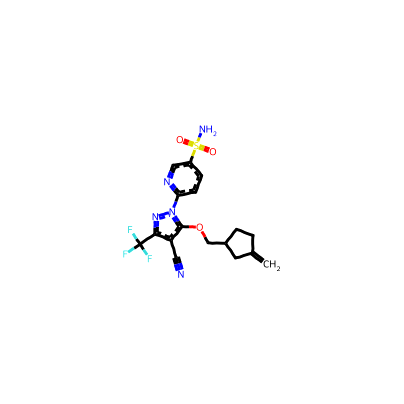 C=C1CCC(COc2c(C#N)c(C(F)(F)F)nn2-c2ccc(S(N)(=O)=O)cn2)C1